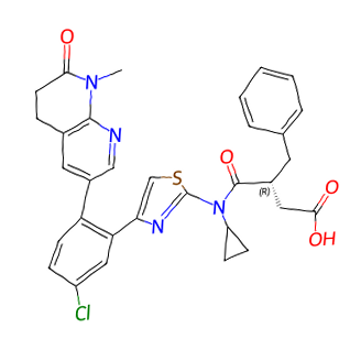 CN1C(=O)CCc2cc(-c3ccc(Cl)cc3-c3csc(N(C(=O)[C@@H](CC(=O)O)Cc4ccccc4)C4CC4)n3)cnc21